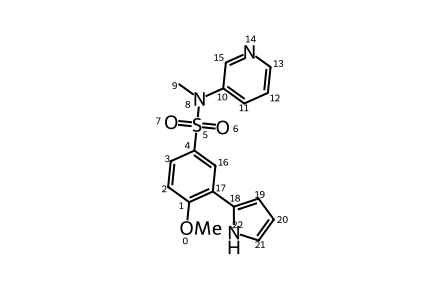 COc1ccc(S(=O)(=O)N(C)c2cccnc2)cc1-c1ccc[nH]1